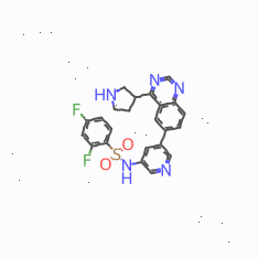 O=S(=O)(Nc1cncc(-c2ccc3ncnc([C]4CCNC4)c3c2)c1)c1ccc(F)cc1F